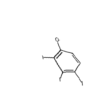 [O]c1ccc(I)c(I)c1I